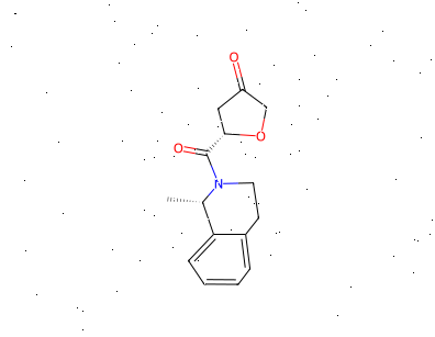 C[C@H]1c2ccccc2CCN1C(=O)[C@@H]1CC(=O)CO1